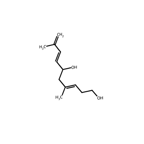 C=C(C)C=CC(O)CC(C)=CCCO